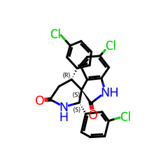 O=C1C[C@H](c2cccc(Cl)c2)[C@@]2(C(=O)Nc3cc(Cl)ccc32)[C@H](c2cccc(Cl)c2)N1